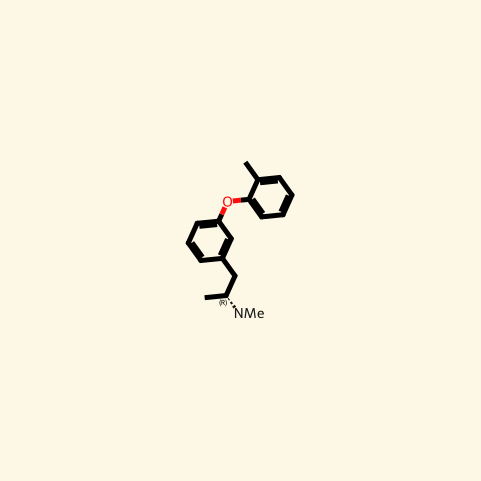 CN[C@H](C)Cc1cccc(Oc2ccccc2C)c1